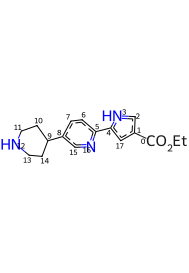 CCOC(=O)c1c[nH]c(-c2ccc(C3CCNCC3)cn2)c1